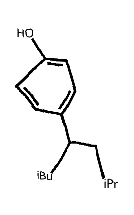 CCC(C)C(CC(C)C)c1ccc(O)cc1